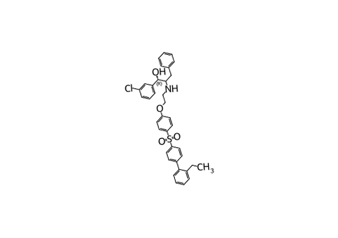 CCc1ccccc1-c1ccc(S(=O)(=O)c2ccc(OCCNC(Cc3ccccc3)[C@H](O)c3cccc(Cl)c3)cc2)cc1